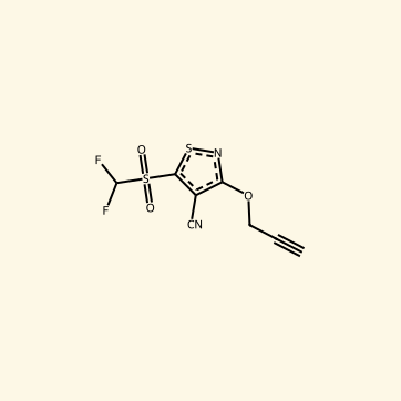 C#CCOc1nsc(S(=O)(=O)C(F)F)c1C#N